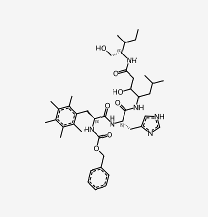 CCC(C)[C@@H](CO)NC(=O)CC(O)C(CC(C)C)NC(=O)[C@H](Cc1c[nH]cn1)NC(=O)[C@H](Cc1c(C)c(C)c(C)c(C)c1C)NC(=O)OCc1ccccc1